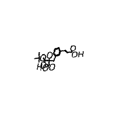 CC(C)(C)OC(=O)C1(C(=O)O)Cc2cc(C=CC(=O)O)ccc2O1